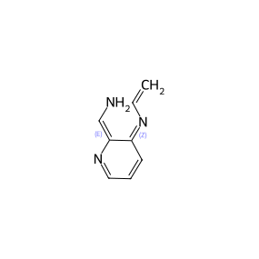 C=C/N=C1/C=CC=N/C1=C/N